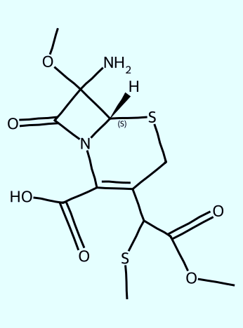 COC(=O)C(SC)C1=C(C(=O)O)N2C(=O)C(N)(OC)[C@@H]2SC1